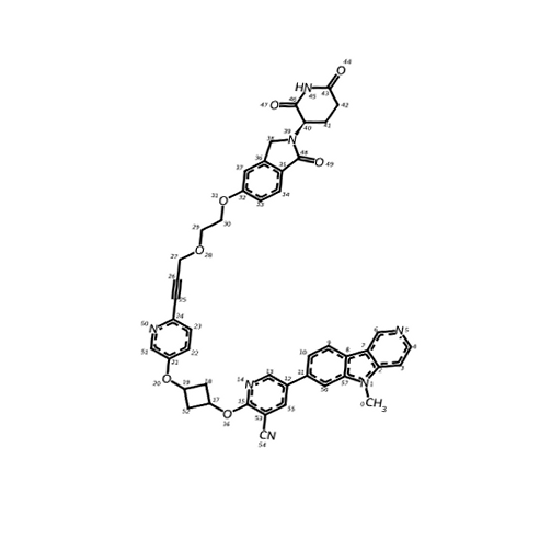 Cn1c2ccncc2c2ccc(-c3cnc(OC4CC(Oc5ccc(C#CCOCCOc6ccc7c(c6)CN([C@@H]6CCC(=O)NC6=O)C7=O)nc5)C4)c(C#N)c3)cc21